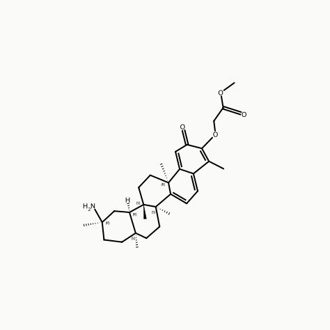 COC(=O)COC1=C(C)C2=CC=C3[C@@](C)(CC[C@@]4(C)[C@@H]5C[C@](C)(N)CC[C@]5(C)CC[C@]34C)C2=CC1=O